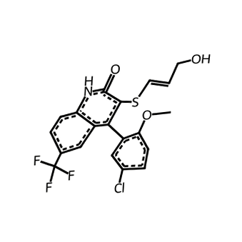 COc1ccc(Cl)cc1-c1c(S/C=C/CO)c(=O)[nH]c2ccc(C(F)(F)F)cc12